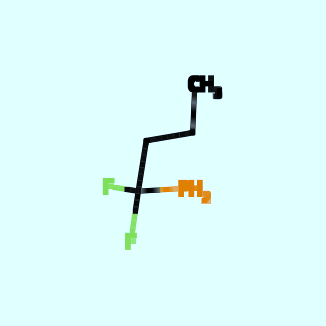 CCCC(F)(F)P